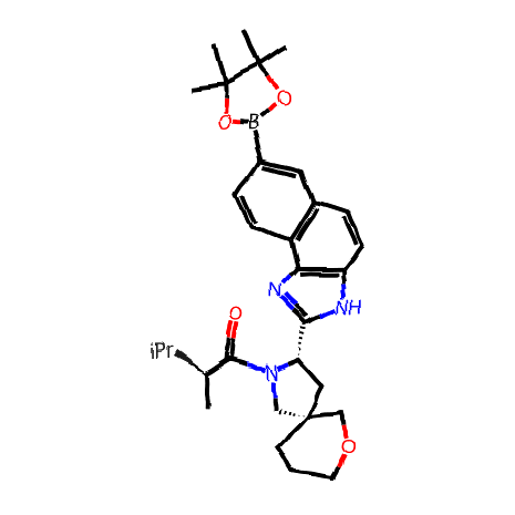 CC(C)[C@H](C)C(=O)N1C[C@]2(CCCOC2)C[C@H]1c1nc2c(ccc3cc(B4OC(C)(C)C(C)(C)O4)ccc32)[nH]1